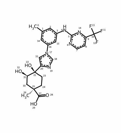 Cc1cc(Nc2nccc(C(F)(F)F)n2)cc(-n2cnc([C@]3(O)CC[C@@](C)(C(=O)O)C[C@H]3O)c2)c1